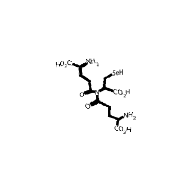 NC(CCC(=O)N(C(=O)CCC(N)C(=O)O)C(C[SeH])C(=O)O)C(=O)O